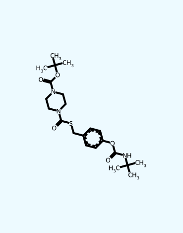 CC(C)(C)NC(=O)Oc1ccc(CSC(=O)N2CCN(C(=O)OC(C)(C)C)CC2)cc1